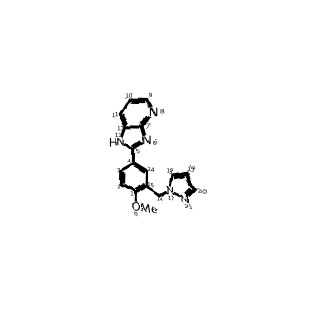 COc1ccc(-c2nc3ncccc3[nH]2)cc1Cn1cccn1